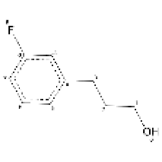 OCCCc1cccc(F)c1